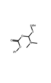 CSSC(OC(=O)OC(C)C)N(C)C